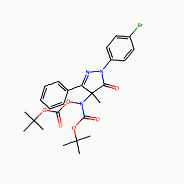 CC(C)(C)OC(=O)ON(C(=O)OC(C)(C)C)C1(C)C(=O)N(c2ccc(Br)cc2)N=C1c1ccccc1